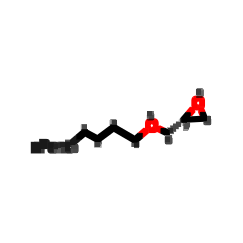 CCCCCCCCCOC[C@H]1CO1